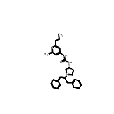 CCCc1cc(NC(=O)N[C@H]2CCN(C(Cc3ccccc3)Cc3ccccc3)C2)cc(C)n1